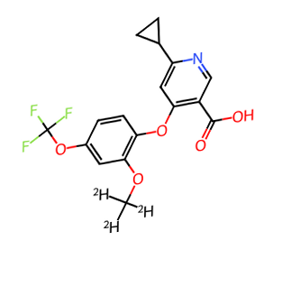 [2H]C([2H])([2H])Oc1cc(OC(F)(F)F)ccc1Oc1cc(C2CC2)ncc1C(=O)O